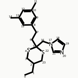 CCC1CSC(CCc2cc(C)cc(C)c2)(Cn2ccnc2)SC1